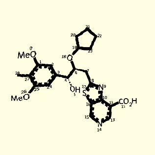 COc1cc([C@@H](O)[C@H](Cc2nc3c(C(=O)O)cncc3s2)OC2CCCC2)cc(OC)c1C